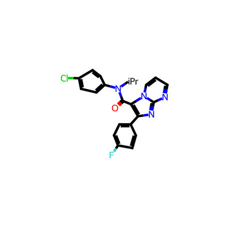 CC(C)N(C(=O)c1c(-c2ccc(F)cc2)nc2ncccn12)c1ccc(Cl)cc1